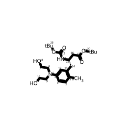 Cc1ccc(N(CCO)CCO)cc1C[C@@H](CC(=O)OC(C)(C)C)NC(=O)OC(C)(C)C